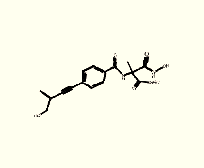 CNC(=O)C(C)(NC(=O)c1ccc(C#CC(C)CO)cc1)C(=O)NO